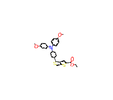 CCOC(=O)c1cc2c(-c3ccc(N(c4ccc(OC)cc4)c4ccc(OC)cc4)cc3)scc2s1